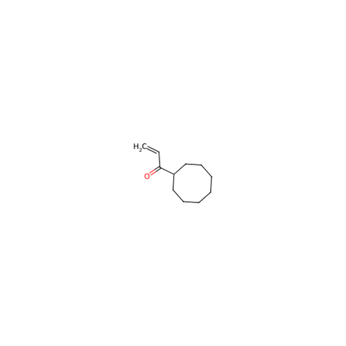 C=CC(=O)C1CCCCCCC1